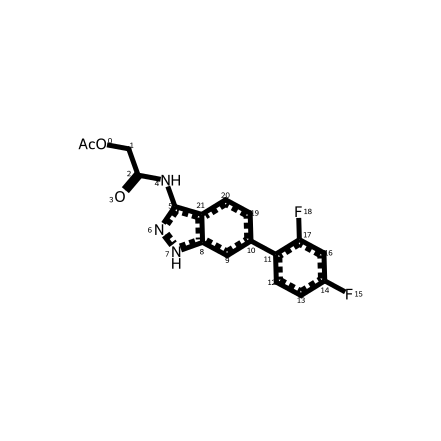 CC(=O)OCC(=O)Nc1n[nH]c2cc(-c3ccc(F)cc3F)ccc12